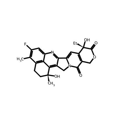 CC[C@@]1(O)C(=O)OCc2c1cc1n(c2=O)Cc2c-1nc1cc(F)c(C)c3c1c2[C@](C)(O)CC3